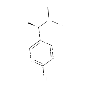 C[S+]([O-])[C@H](Cl)c1ccc(Cl)nc1